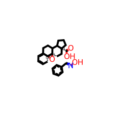 O=C(O)[C@@]12CCCC1C1CCC3=CC=CC[C@]34O[C@]14CC2.ON=Cc1ccccc1